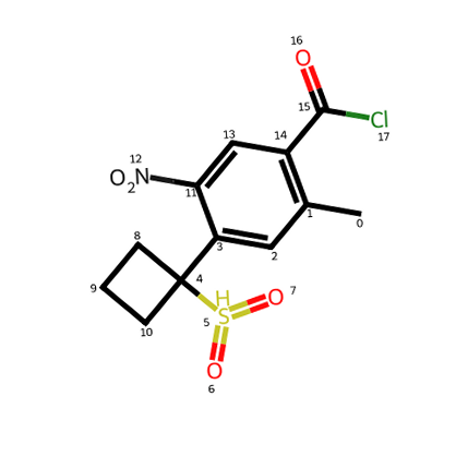 Cc1cc(C2([SH](=O)=O)CCC2)c([N+](=O)[O-])cc1C(=O)Cl